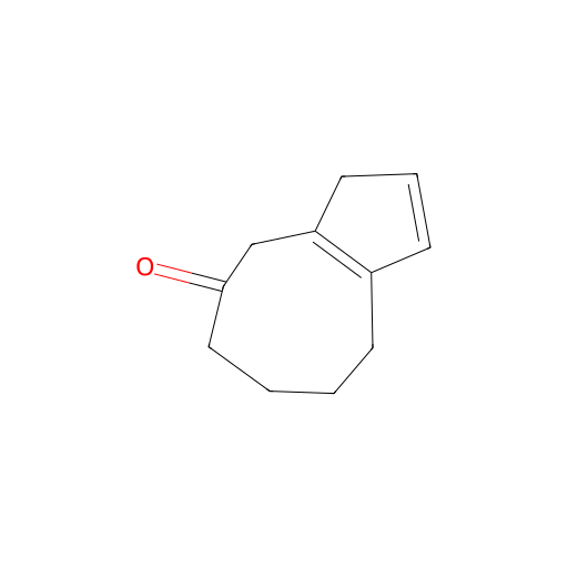 O=C1CCCCC2=C(CC=C2)C1